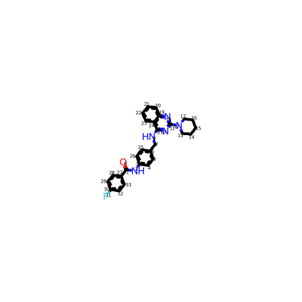 O=C(Nc1ccc(CNc2nc(N3CCCCC3)nc3ccccc23)cc1)c1ccc(F)cc1